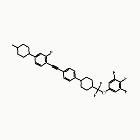 CC1CCC(c2ccc(C#Cc3ccc(C4CCC(C(F)(F)Oc5cc(F)c(F)c(F)c5)CC4)cc3)c(F)c2)CC1